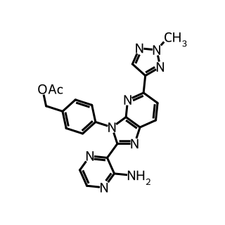 CC(=O)OCc1ccc(-n2c(-c3nccnc3N)nc3ccc(-c4cnn(C)n4)nc32)cc1